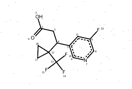 O=C(O)CC(c1cncc(F)c1)C1(C(F)(F)F)CC1